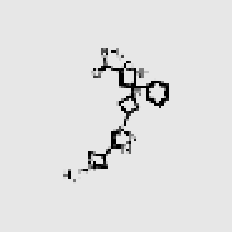 CN1CC(c2cn(C3CC([C@@]4(c5ccccc5)C=C(C(N)=O)ON4)C3)nn2)C1